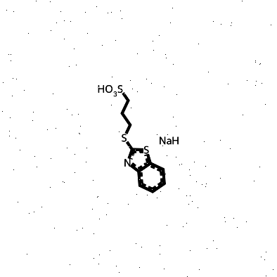 O=S(=O)(O)CCCSc1nc2ccccc2s1.[NaH]